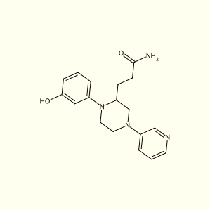 NC(=O)CCC1CN(c2cccnc2)CCN1c1cccc(O)c1